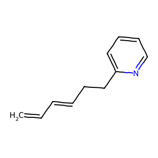 C=C/C=C/CCc1ccccn1